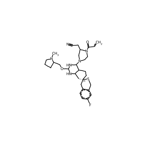 C=CC(=O)N1CCN(C2NC(OCC3CCCN3C)NC3C[C@@]4(CCC32)Cc2ccc(F)cc2CS4)CC1CC#N